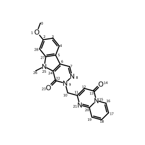 COc1ccc2c3cnn(Cc4cc(=O)n5ccccc5n4)c(=O)c3n(C)c2c1